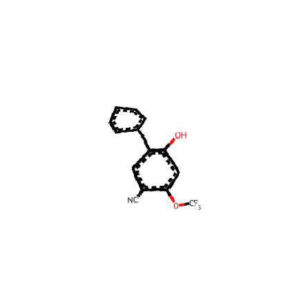 N#Cc1cc(-c2ccccc2)c(O)cc1OC(F)(F)F